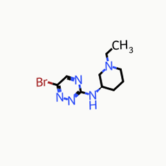 CCN1CCC[C@@H](Nc2ncc(Br)nn2)C1